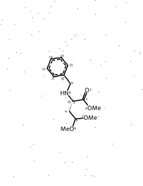 COC(=O)[C@H](CC(OC)OC)NCc1ccccc1